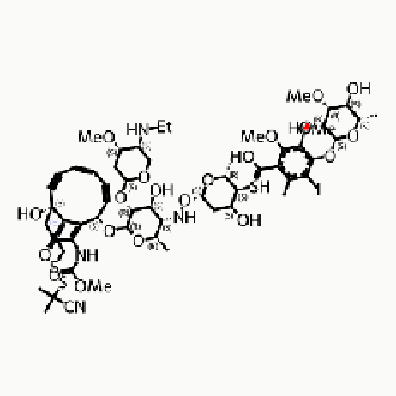 CCN[C@H]1CO[C@@H](O[C@H]2[C@H](O[C@H]3C#CC=CC#C[C@]4(O)CC(=O)C(NC(=O)OC)=C3/C4=C\CSSC(C)(C)C#N)O[C@H](C)[C@@H](NO[C@H]3C[C@H](O)[C@H]([SH]=C(O)c4c(C)c(I)c(O[C@@H]5O[C@@H](C)[C@H](O)[C@@H](OC)[C@H]5O)c(OC)c4OC)[C@@H](C)O3)[C@@H]2O)C[C@@H]1OC